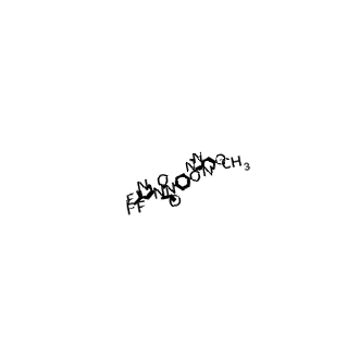 COc1cnc2c(O[C@H]3CC[C@H](N4C(=O)CN(c5cncc(C(F)(F)F)c5)C4=O)CC3)ncnc2c1